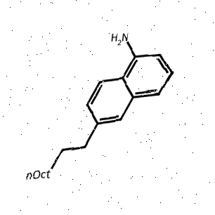 CCCCCCCCCCc1ccc2c(N)cccc2c1